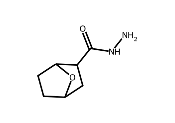 NNC(=O)C1CC2CCC1O2